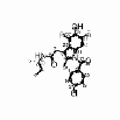 CC[C@H](C)NC(=O)Cc1c(C)n(C(=O)c2ccc(Cl)cc2)c2cc(F)c(O)c(F)c12